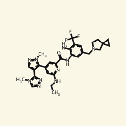 CCNc1cc(-c2c(-c3nncn3C)cnn2C)cc(C(=O)Nc2cc(CN3CCC4(CC4)C3)cc(C(F)(F)F)c2N)n1